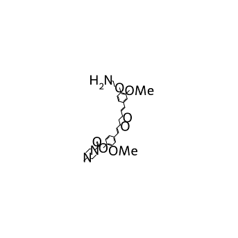 COc1cc(/C=C/C(=O)CC(=O)/C=C/c2ccc(OC(=O)N3CCN(C)CC3)c(OC)c2)ccc1OCCN